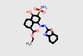 CCOC(=O)c1cccc2c(O)c(S(N)(=O)=O)cc(/N=N/c3nc4ccccc4s3)c12